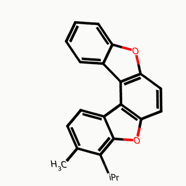 Cc1ccc2c(oc3ccc4oc5ccccc5c4c32)c1C(C)C